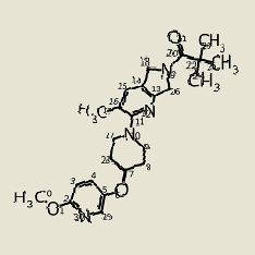 COc1ccc(OC2CCN(c3nc4c(cc3C)CN(C(=O)C(C)(C)C)C4)CC2)cn1